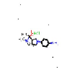 CN(C)C(C)(O)C1CCN(c2ccc(N)cc2)C1.Cl